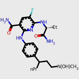 CCCC(CCN(C)O)c1ccc(Nc2nc(N[C@H](CC)C(N)=O)c(F)cc2C(N)=O)cc1